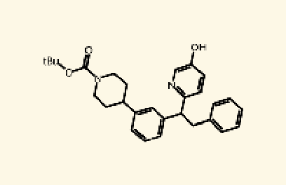 CC(C)(C)OC(=O)N1CCC(c2cccc(C(Cc3ccccc3)c3ccc(O)cn3)c2)CC1